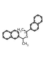 CC(S[C@@H](C)c1ccc2ccccc2c1)c1ccc2ccccc2c1